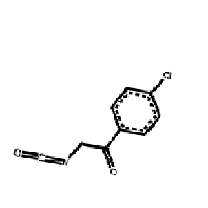 O=C=NCC(=O)c1ccc(Cl)cc1